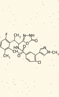 Cc1ccc(F)c(C(C)C(NS(=O)(=O)c2ccc(Cl)c(-c3cnn(C)c3)c2)c2n[nH]c(=O)o2)c1C